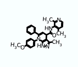 COc1ccc(N2C(c3ccccc3)=CC(C(=O)Nc3c(C)ccnc3C)c3c(C)n[nH]c32)cc1